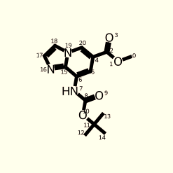 COC(=O)c1cc(NC(=O)OC(C)(C)C)c2nccn2c1